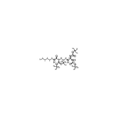 [CH2]CCCCCNC(=O)C(CCCNC(=NC(=O)OC(C)(C)C)NC(=O)OC(C)(C)C)N(OC(C)(C)C)OC(C)(C)C